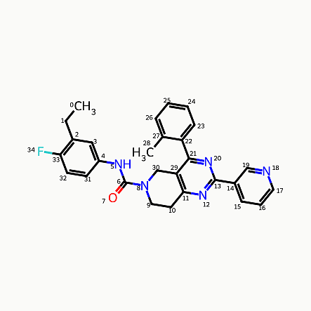 CCc1cc(NC(=O)N2CCc3nc(-c4cccnc4)nc(-c4ccccc4C)c3C2)ccc1F